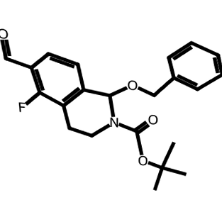 CC(C)(C)OC(=O)N1CCc2c(ccc(C=O)c2F)C1OCc1ccccc1